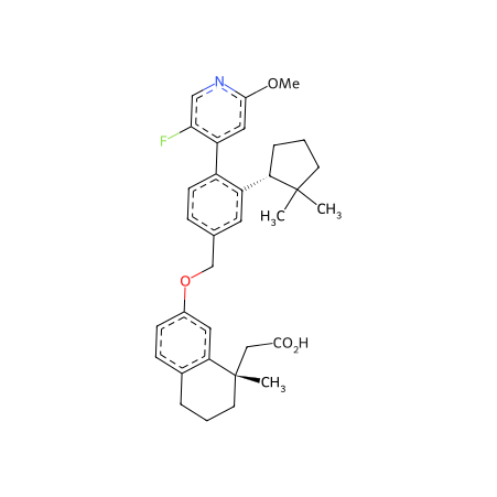 COc1cc(-c2ccc(COc3ccc4c(c3)[C@](C)(CC(=O)O)CCC4)cc2[C@@H]2CCCC2(C)C)c(F)cn1